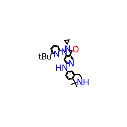 CC(C)(C)c1cccc(-n2c3cc(Nc4ccc5c(c4)CCNC5(C)C)ncc3c(=O)n2C2CC2)n1